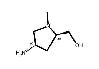 CN1C[C@@H](N)C[C@@H]1CO